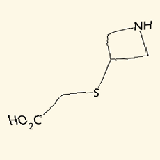 O=C(O)CSC1CNC1